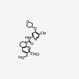 N#Cc1cnc(NC(=O)N2CCCc3cc(CO)c(C=O)nc32)cc1OC1CCOC1